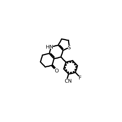 N#Cc1cc(C2C3=C(CCS3)NC3=C2C(=O)CCC3)ccc1F